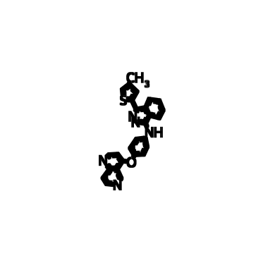 Cc1csc(-c2nnc(Nc3ccc(Oc4ccnc5ccncc45)cc3)c3ccccc23)c1